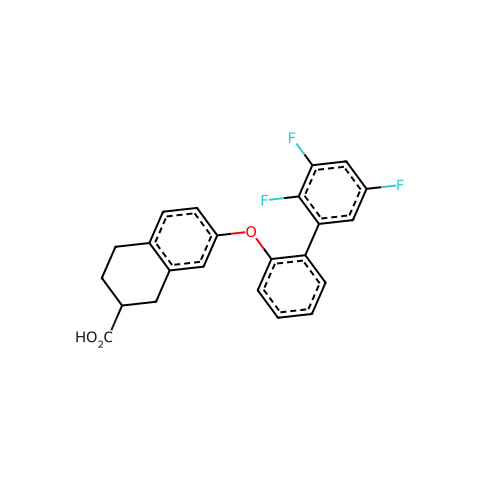 O=C(O)C1CCc2ccc(Oc3ccccc3-c3cc(F)cc(F)c3F)cc2C1